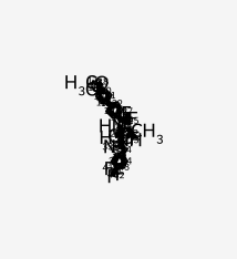 CC(C)(F)C[C@H](N[C@@H](c1ccc(-c2ccc(S(C)(=O)=O)cc2)cc1)C(F)(F)F)C(=O)N[C@H](C#N)Cc1ccc(C(F)(F)F)cc1